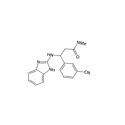 CNC(=O)CC(Nc1nc2ccccc2[nH]1)c1cccc(C#N)c1